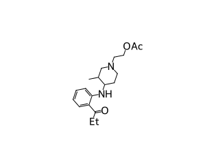 CCC(=O)c1ccccc1NC1CCN(CCOC(C)=O)CC1C